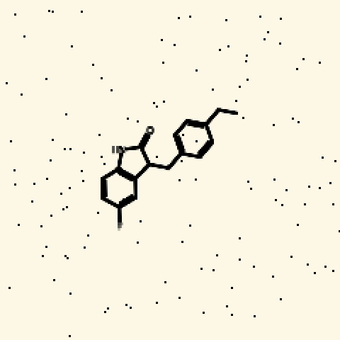 CCc1ccc(CC2C(=O)Nc3ccc(F)cc32)cc1